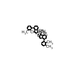 CC[CH]=[Hf]([CH3])([CH3])([CH3])([CH]1C=Cc2c(-c3cccc(C)c3C)cccc21)[CH]1C=Cc2c(-c3cccc(C)c3C)cccc21